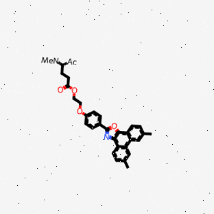 CNC(CCC(=O)OCCOc1ccc(-c2nc3c4ccc(C)cc4c4cc(C)ccc4c3o2)cc1)C(C)=O